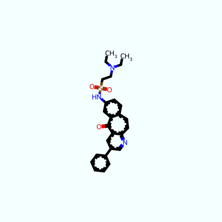 CCN(CC)CCS(=O)(=O)Nc1ccc2ccc3ncc(-c4ccccc4)cc3c(=O)c2c1